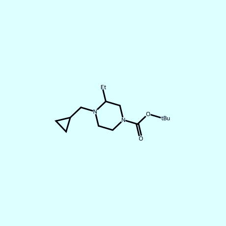 CCC1CN(C(=O)OC(C)(C)C)CCN1CC1CC1